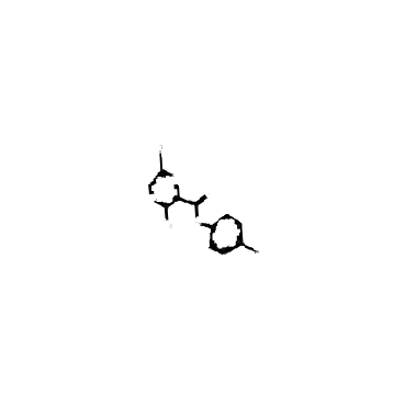 Nc1ncc(Br)nc1C(=O)Nc1ccc(F)cc1